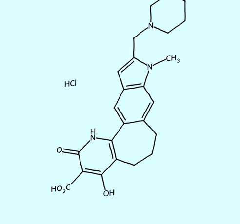 Cl.Cn1c(CN2CCCCC2)cc2cc3c(cc21)CCCc1c-3[nH]c(=O)c(C(=O)O)c1O